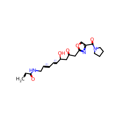 C=CC(=O)NC/C=C/C=C/C(O)CC(=O)Cc1nc(C(=O)N2CCCC2)co1